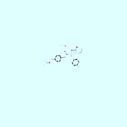 CN(C)C(=O)Oc1ccc(C[C@@H](C(=O)OC(C)(C)C)N(C(=O)C2NCCSC2=O)S(=O)(=O)c2ccc(F)cc2F)cc1